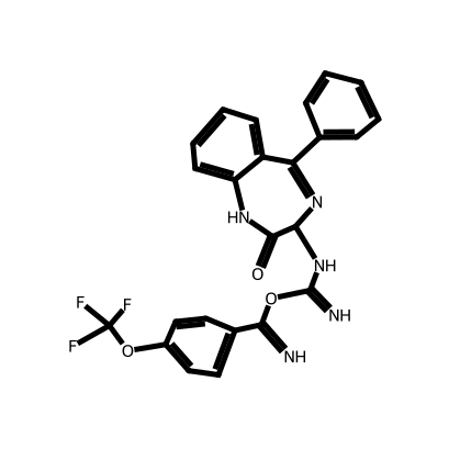 N=C(NC1N=C(c2ccccc2)c2ccccc2NC1=O)OC(=N)c1ccc(OC(F)(F)F)cc1